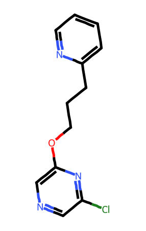 Clc1cncc(OCCCc2ccccn2)n1